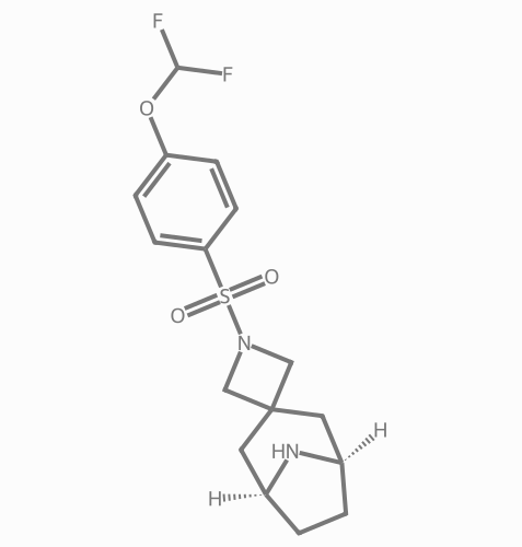 O=S(=O)(c1ccc(OC(F)F)cc1)N1CC2(C[C@H]3CC[C@@H](C2)N3)C1